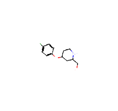 OCC1CC(Oc2ccc(F)cc2)CCN1